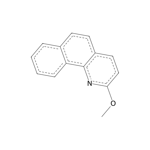 COc1ccc2ccc3ccccc3c2n1